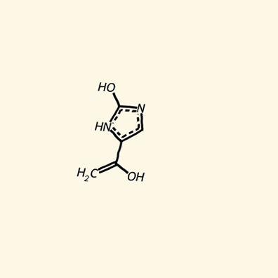 C=C(O)c1cnc(O)[nH]1